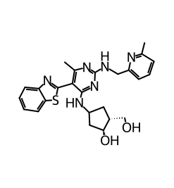 Cc1cccc(CNc2nc(C)c(-c3nc4ccccc4s3)c(NC3C[C@H](CO)[C@@H](O)C3)n2)n1